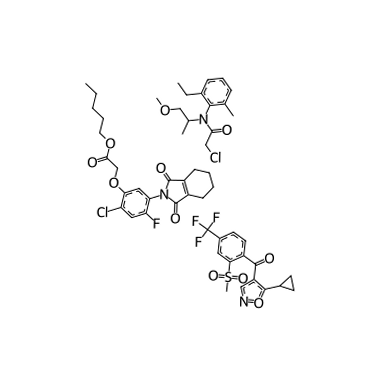 CCCCCOC(=O)COc1cc(N2C(=O)C3=C(CCCC3)C2=O)c(F)cc1Cl.CCc1cccc(C)c1N(C(=O)CCl)C(C)COC.CS(=O)(=O)c1cc(C(F)(F)F)ccc1C(=O)c1cnoc1C1CC1